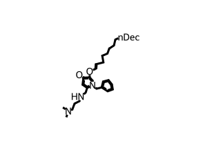 CCCCCCCCCCCCCCCCC=COc1cn(Cc2ccccc2)c(CNCCCN(C)C)cc1=O